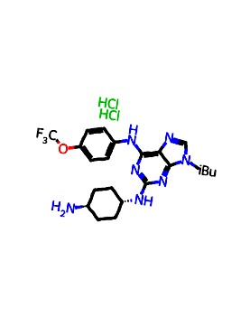 CCC(C)n1cnc2c(Nc3ccc(OC(F)(F)F)cc3)nc(N[C@H]3CC[C@H](N)CC3)nc21.Cl.Cl